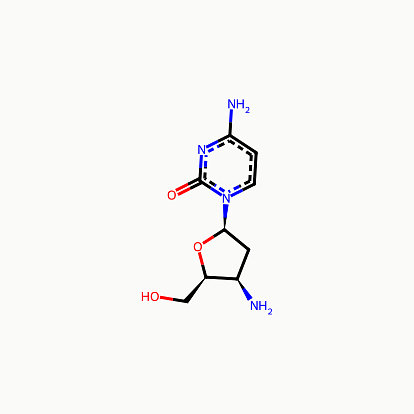 Nc1ccn([C@H]2C[C@@H](N)[C@@H](CO)O2)c(=O)n1